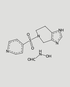 O=CNO.O=S(=O)(c1ccncc1)N1CCc2[nH]cnc2C1